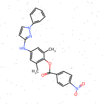 Cc1cc(Nc2ccn(-c3ccccc3)n2)cc(C)c1OC(=O)c1ccc([N+](=O)[O-])cc1